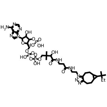 CCC(C)(C)C1C2CCc3nnn(CCNC(=O)CCNC(=O)C(O)C(C)(C)COP(=O)(O)OP(=O)(O)OCC4OC(n5cnc6c(N)ncnc65)C(O)C4OP(=O)(O)O)c3CCC21